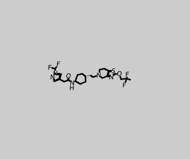 CC(F)(F)COc1nc2c(s1)CCN(CC[C@H]1CC[C@H](NC(=O)Cc3cnn(C(F)F)c3)CC1)C2